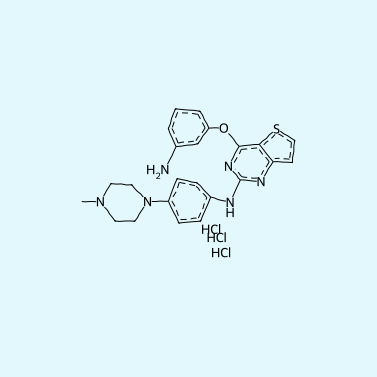 CN1CCN(c2ccc(Nc3nc(Oc4cccc(N)c4)c4sccc4n3)cc2)CC1.Cl.Cl.Cl